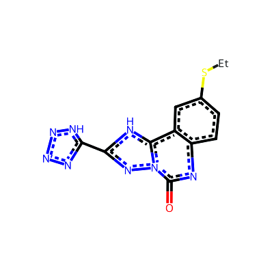 CCSc1ccc2nc(=O)n3nc(-c4nnn[nH]4)[nH]c3c2c1